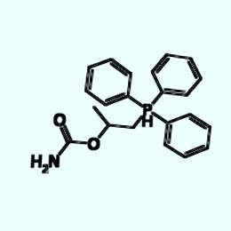 CC(C[PH](c1ccccc1)(c1ccccc1)c1ccccc1)OC(N)=O